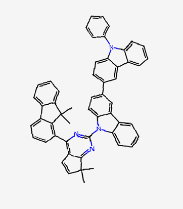 CC1(C)C=Cc2c(-c3cccc4c3C(C)(C)c3ccccc3-4)nc(-n3c4ccccc4c4cc(-c5ccc6c(c5)c5ccccc5n6-c5ccccc5)ccc43)nc21